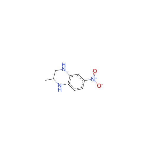 CC1CNc2cc([N+](=O)[O-])ccc2N1